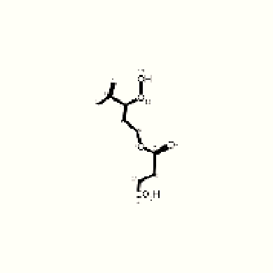 C=C(C)C(CCOC(=O)CCC(=O)O)OO